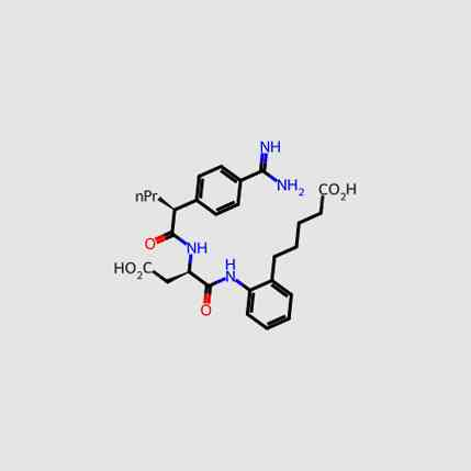 CCC[C@H](C(=O)N[C@H](CC(=O)O)C(=O)Nc1ccccc1CCCCC(=O)O)c1ccc(C(=N)N)cc1